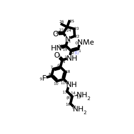 CN/C=C(/NC(=O)c1cc(F)cc(NC[C@H](N)CN)c1)C(=N)N1CCC(C)(C)C1=O